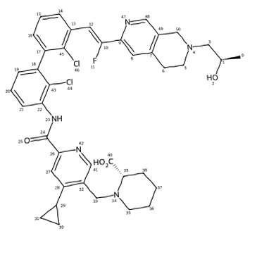 C[C@@H](O)CN1CCc2cc(/C(F)=C/c3cccc(-c4cccc(NC(=O)c5cc(C6CC6)c(CN6CCCC[C@H]6C(=O)O)cn5)c4Cl)c3Cl)ncc2C1